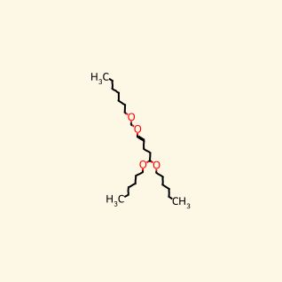 CCCCCCCOCOC=CCCC(OCCCCCC)OCCCCCC